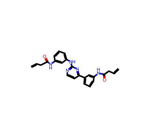 C=CCC(=O)Nc1cccc(Nc2nccc(-c3cccc(NC(=O)CC=C)c3)n2)c1